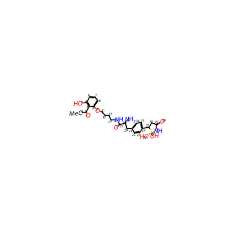 COC(=O)c1c(O)cccc1OCCCCNC(=O)[C@@H](N)Cc1ccc(C2CC(=O)NS2(O)O)cc1